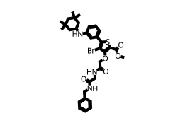 COC(=O)c1sc(-c2cccc(NC3CC(C)(C)CC(C)(C)C3)c2)c(Br)c1OCC(=O)NCC(=O)NCc1ccccc1